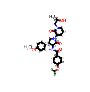 COc1ccc([C@@H]2CN(c3cccn(CC(C)O)c3=O)C(=O)C2NC(=O)c2ccc(OC(F)F)cc2)cc1